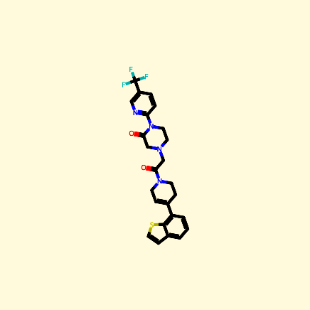 O=C(CN1CCN(c2ccc(C(F)(F)F)cn2)C(=O)C1)N1CC=C(c2cccc3ccsc23)CC1